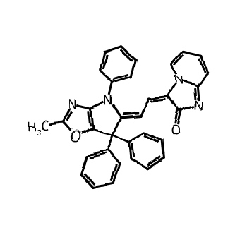 Cc1nc2c(o1)C(c1ccccc1)(c1ccccc1)/C(=C/C=C1\C(=O)N=C3C=CC=CN31)N2c1ccccc1